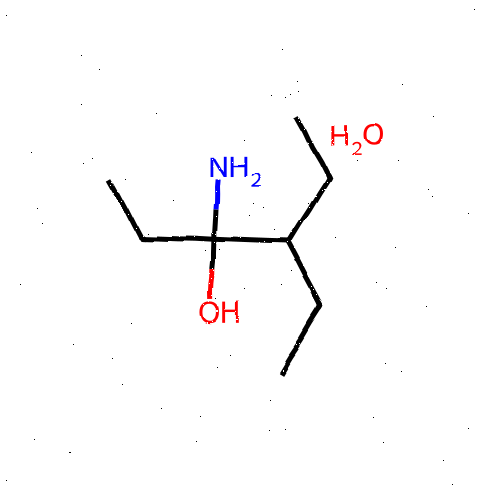 CCC(CC)C(N)(O)CC.O